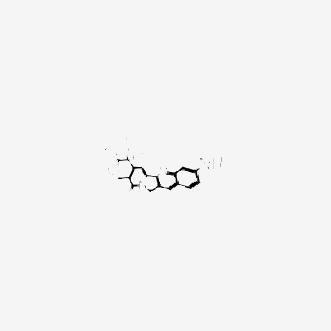 CC[C@@]1(O)C(=O)OCc2c1cc1n(c2=S)Cc2cc3ccc(N)cc3nc2-1